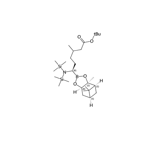 CC(CC[C@@H](B1O[C@@H]2C[C@@H]3C[C@@H](C3(C)C)[C@]2(C)O1)N([Si](C)(C)C)[Si](C)(C)C)CC(=O)OC(C)(C)C